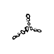 c1ccc2sc(-c3ccc(-c4ccc(N(c5ccc(-c6cc7ccccc7s6)cc5)c5ccc(-c6cc7ccccc7s6)cc5)cc4)cc3)cc2c1